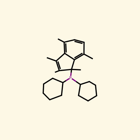 CC1=C(C)C(C)(P(C2CCCCC2)C2CCCCC2)c2c(C)ccc(C)c21